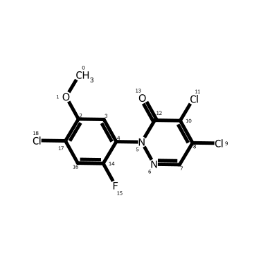 COc1cc(-n2ncc(Cl)c(Cl)c2=O)c(F)cc1Cl